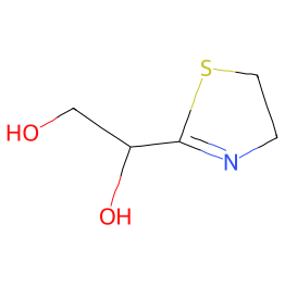 OCC(O)C1=NCCS1